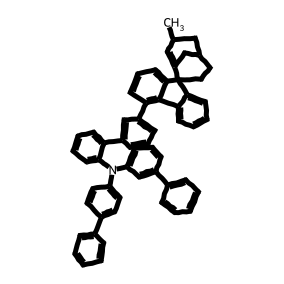 CC1C=C2CC(CCC23c2ccccc2-c2c(-c4cccc(-c5ccccc5N(c5ccc(-c6ccccc6)cc5)c5cccc(-c6ccccc6)c5)c4)cccc23)C1